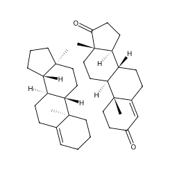 C[C@@]12CCC[C@H]1[C@@H]1CCC3=CCCC[C@]3(C)[C@H]1CC2.C[C@]12CCC(=O)C=C1CC[C@@H]1[C@@H]2CC[C@]2(C)C(=O)CC[C@@H]12